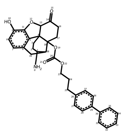 NC1CCC23c4c5ccc(O)c4OC2C(=O)CCC3(OC(=O)OCCCc2ccc(-c3ccccc3)cc2)C1C5